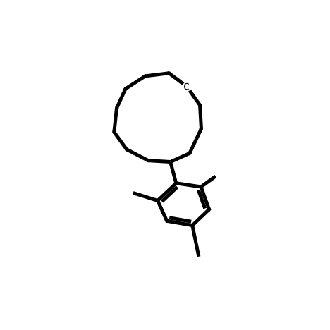 Cc1cc(C)c(C2CCCCCCCCCCC2)c(C)c1